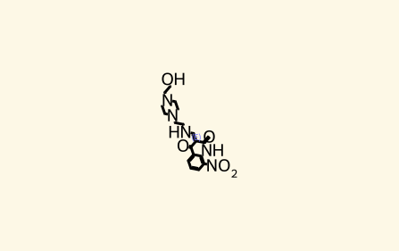 O=C1Nc2c(cccc2[N+](=O)[O-])C(=O)/C1=C\NCCN1CCN(CCO)CC1